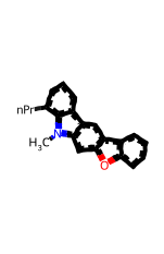 CCCc1cccc2c3cc4c(cc3n(C)c12)oc1ccccc14